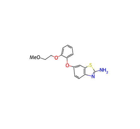 COCCOc1ccccc1Oc1ccc2nc(N)sc2c1